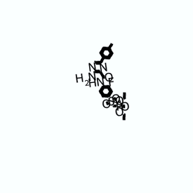 CCOP(=O)(CS(=O)(=O)c1ccc(NC(=O)c2nc(-c3ccc(C)cc3)cnc2N)c(F)c1)OCC